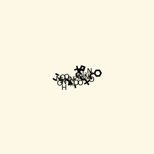 CC[C@@H]1C[C@]1(NC(=O)[C@@H]1C[C@@]2(CN1C(=O)[C@@H](NC(=O)[C@@H](N)C1CCCCC1)C(C)(C)C)C(C)(C)C21CCC1)C(=O)NS(=O)(=O)N(CC)CC